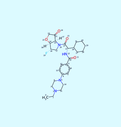 CCN1CCN(c2ccc(C(=O)N[C@H](C(=O)N3C[C@H](F)[C@H]4OCC(=O)[C@H]43)C3CCCCC3)cc2)CC1